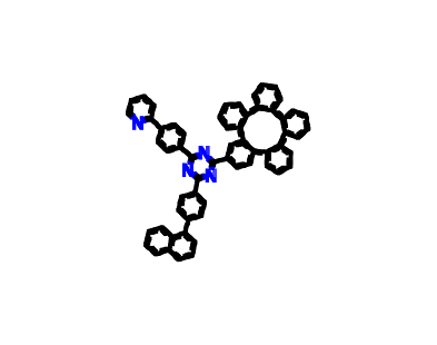 c1ccc(-c2ccc(-c3nc(-c4ccc(-c5cccc6ccccc56)cc4)nc(-c4ccc5c6ccccc6c6ccccc6c6ccccc6c6ccccc6c5c4)n3)cc2)nc1